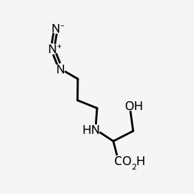 [N-]=[N+]=NCCCNC(CO)C(=O)O